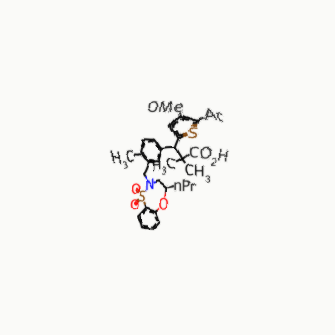 CCC[C@@H]1CN(Cc2cc(C(c3cc(OC)c(C(C)=O)s3)C(C)(C)C(=O)O)ccc2C)S(=O)(=O)c2ccccc2O1